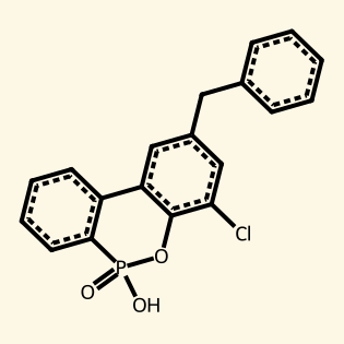 O=P1(O)Oc2c(Cl)cc(Cc3ccccc3)cc2-c2ccccc21